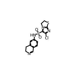 O=S(=O)(Nc1ccc2c(c1)CCN=C2)c1c(Cl)nc2n1CCS2